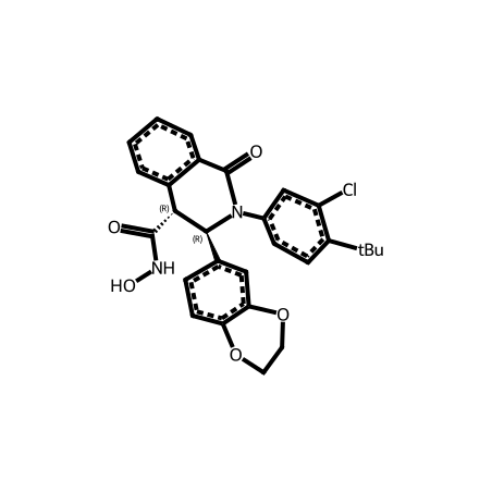 CC(C)(C)c1ccc(N2C(=O)c3ccccc3[C@@H](C(=O)NO)[C@@H]2c2ccc3c(c2)OCCO3)cc1Cl